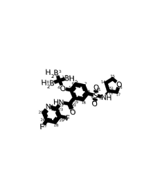 BC(B)(B)Oc1ccc(S(=O)(=O)N[C@H]2CCOC2)cc1C(=O)Nc1ncc(F)cc1F